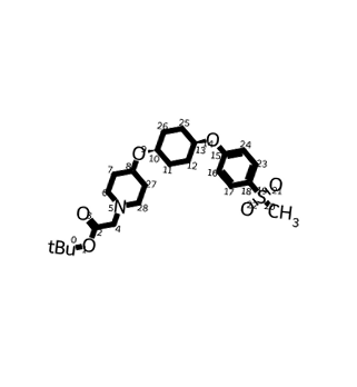 CC(C)(C)OC(=O)CN1CCC(O[C@H]2CC[C@H](Oc3ccc(S(C)(=O)=O)cc3)CC2)CC1